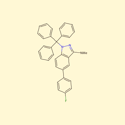 CNc1nn(C(c2ccccc2)(c2ccccc2)c2ccccc2)c2ccc(-c3ccc(F)cc3)cc12